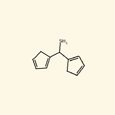 [SiH3]C(C1=CC=CC1)C1=CC=CC1